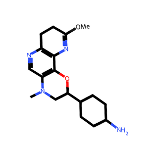 COC1=Nc2c(ncc3c2OC(C2CCC(N)CC2)CN3C)CC1